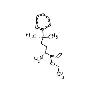 CCOC(=O)C(N)CCC(C)(C)c1ccccc1